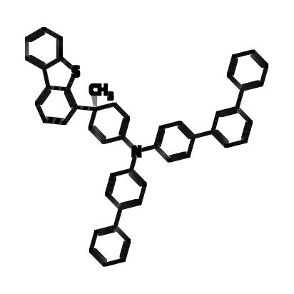 C[C@@]1(c2cccc3c2sc2ccccc23)C=CC(N(c2ccc(-c3ccccc3)cc2)c2ccc(-c3cccc(-c4ccccc4)c3)cc2)=CC1